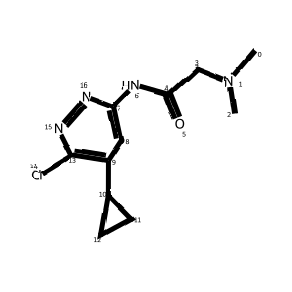 CN(C)CC(=O)Nc1cc(C2CC2)c(Cl)nn1